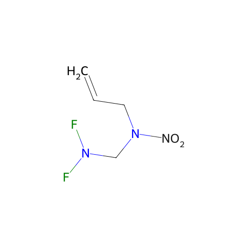 C=CCN(CN(F)F)[N+](=O)[O-]